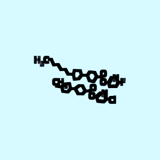 CCC1CCC(C2CCC(C(=O)Oc3ccc(Cl)nc3)CC2)CC1.CCCCCCCC1CCC(C2CCC(C(=O)Oc3ccc(F)nc3)CC2)CC1